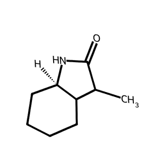 CC1C(=O)N[C@@H]2CCCCC12